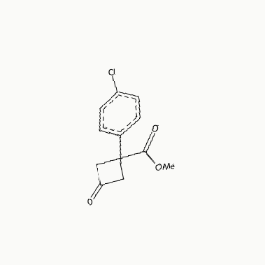 COC(=O)C1(c2ccc(Cl)cc2)CC(=O)C1